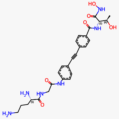 C[C@@H](O)[C@H](NC(=O)c1ccc(C#Cc2ccc(NC(=O)CNC(=O)[C@@H](N)CCCN)cc2)cc1)C(=O)NO